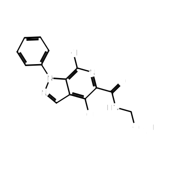 O=C(O)CNC(=O)c1nc(Cl)c2c(cnn2-c2ccccc2)c1O